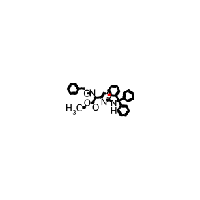 CCOC(=O)C(=NOCc1ccccc1)c1csc(NC(c2ccccc2)(c2ccccc2)c2ccccc2)n1